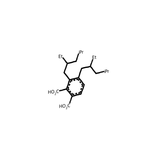 CCC(Cc1ccc(C(=O)O)c(C(=O)O)c1CC(CC)CC(C)C)CC(C)C